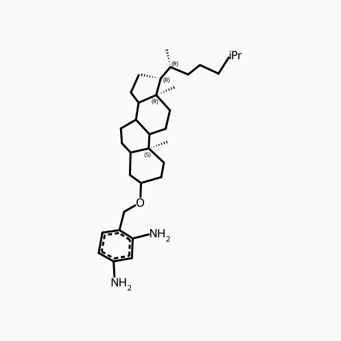 CC(C)CCC[C@@H](C)[C@H]1CCC2C3CCC4CC(OCc5ccc(N)cc5N)CC[C@]4(C)C3CC[C@@]21C